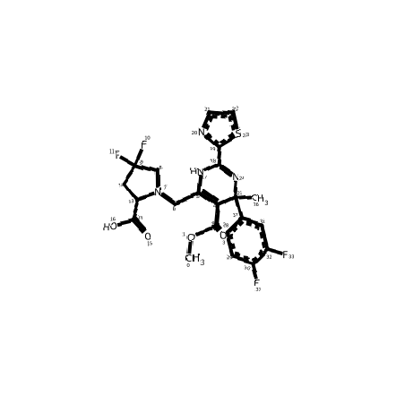 COC(=O)C1=C(CN2CC(F)(F)CC2C(=O)O)NC(c2nccs2)=NC1(C)c1ccc(F)c(F)c1